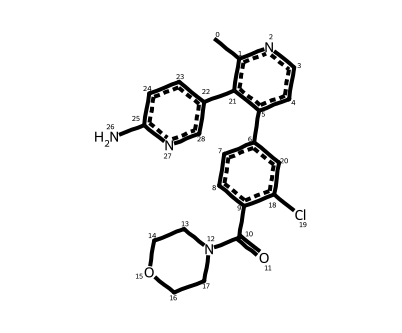 Cc1nccc(-c2ccc(C(=O)N3CCOCC3)c(Cl)c2)c1-c1ccc(N)nc1